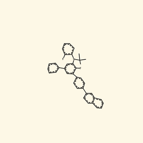 CC(C)(C)N(c1ccccc1F)c1cc(-c2ccccc2)cc(-c2ccc(-c3ccc4ccccc4c3)cc2)c1F